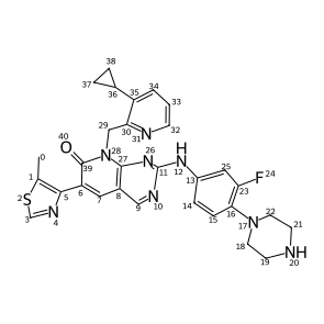 Cc1scnc1-c1cc2cnc(Nc3ccc(N4CCNCC4)c(F)c3)nc2n(Cc2ncccc2C2CC2)c1=O